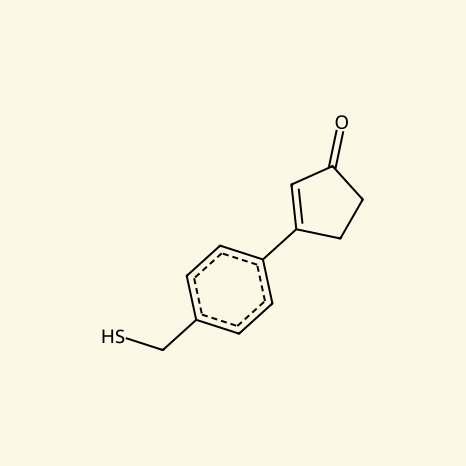 O=C1C=C(c2ccc(CS)cc2)CC1